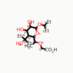 CCC(CC)OC1OC(C(C)OCC(=O)O)C(C(O)(CC)CC)C(O)C1O